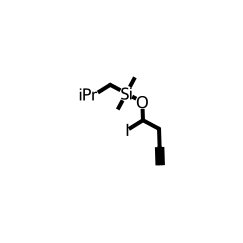 C#CCC(I)O[Si](C)(C)CC(C)C